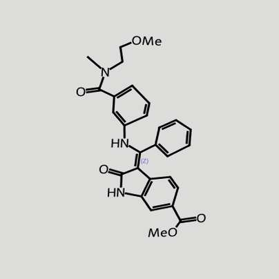 COCCN(C)C(=O)c1cccc(N/C(=C2\C(=O)Nc3cc(C(=O)OC)ccc32)c2ccccc2)c1